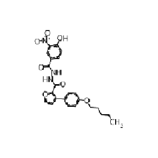 CCCCCOc1ccc(-c2ccoc2C(=O)NNC(=O)c2ccc(O)c([N+](=O)[O-])c2)cc1